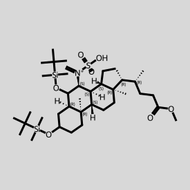 C=[N+]([C@@H]1C(O[Si](C)(C)C(C)(C)C)[C@@H]2CC(O[Si](C)(C)C(C)(C)C)CC[C@]2(C)[C@H]2CC[C@]3(C)[C@@H]([C@H](C)CCC(=O)OC)CC[C@H]3[C@H]12)S(=O)(=O)O